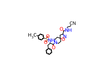 Cc1ccc(S(=O)(=O)NC(Cc2ccccc2)C(=O)N2CCC3(CC2)CC(C(=O)NCCC#N)=NO3)cc1